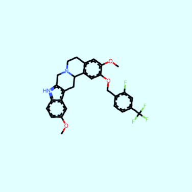 COc1ccc2[nH]c3c(c2c1)CC1c2cc(OCc4ccc(C(F)(F)F)cc4F)c(OC)cc2CCN1C3